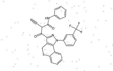 N#CC(C(=O)Nc1ccccc1)C(=O)c1nn(-c2cccc(C(F)(F)F)c2)c2c1CSc1ccccc1-2